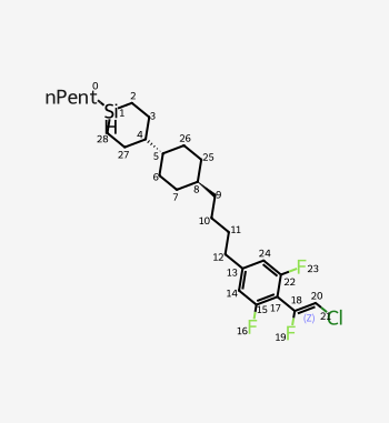 CCCCC[SiH]1CCC([C@H]2CC[C@H](CCCCc3cc(F)c(/C(F)=C/Cl)c(F)c3)CC2)CC1